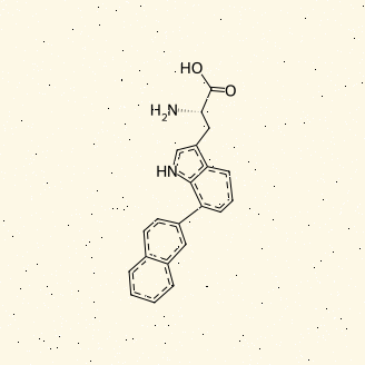 N[C@@H](Cc1c[nH]c2c(-c3ccc4ccccc4c3)cccc12)C(=O)O